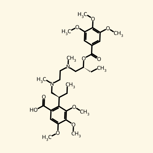 CC[C@H](CN(C)CCN(C)C[C@@H](CC)c1c(C(=O)O)cc(OC)c(OC)c1OC)OC(=O)c1cc(OC)c(OC)c(OC)c1